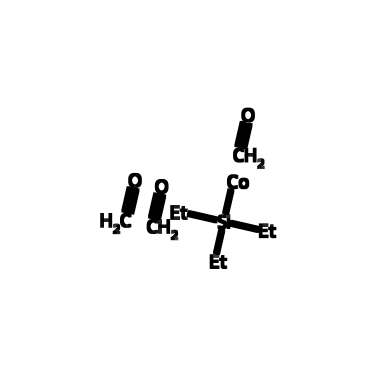 C=O.C=O.C=O.CC[Si]([Co])(CC)CC